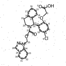 O=C(O)COc1ccc(Cl)cc1[C@@H]1c2ccccc2CCN1C(=O)OCn1ncc2ccccc21